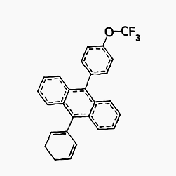 FC(F)(F)Oc1ccc(-c2c3ccccc3c(C3=CCCC=C3)c3ccccc23)cc1